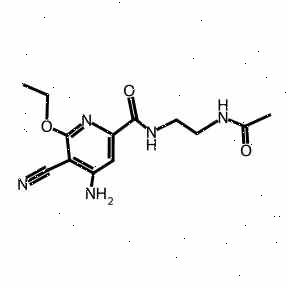 CCOc1nc(C(=O)NCCNC(C)=O)cc(N)c1C#N